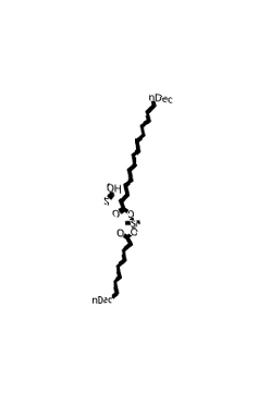 CCCCCCCCCCCCCCCCCCCCCCCCC(=O)O[Si](C)(C)OC(=O)CCCCCCCCCCCCCCCCC.OC=S